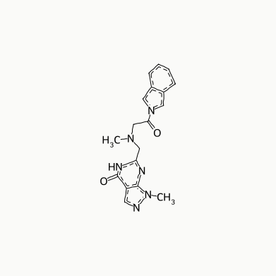 CN(CC(=O)n1cc2ccccc2c1)Cc1nc2c(cnn2C)c(=O)[nH]1